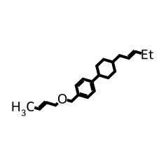 CC=CCOCc1ccc(C2CCC(C/C=C/CC)CC2)cc1